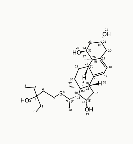 CCC(O)(CC)CCS[C@H](C)[C@H]1[C@@H](O)C[C@H]2C3=CC=C4C[C@@H](O)C[C@H](O)[C@]4(C)[C@H]3CC[C@]12C